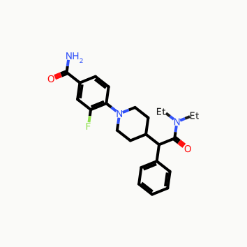 CCN(CC)C(=O)C(c1ccccc1)C1CCN(c2ccc(C(N)=O)cc2F)CC1